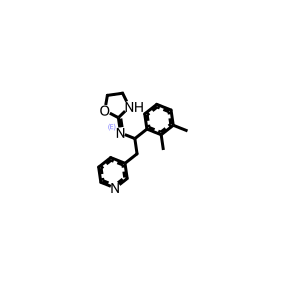 Cc1cccc(C(Cc2cccnc2)/N=C2\NCCO2)c1C